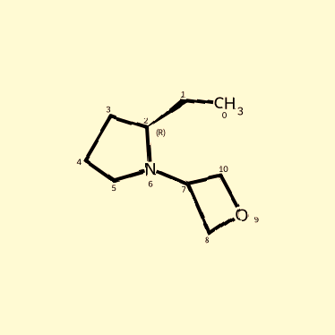 CC[C@@H]1CCCN1C1COC1